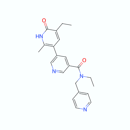 CCc1cc(-c2cncc(C(=O)N(CC)Cc3ccncc3)c2)c(C)[nH]c1=O